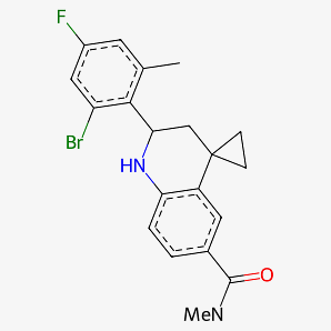 CNC(=O)c1ccc2c(c1)C1(CC1)CC(c1c(C)cc(F)cc1Br)N2